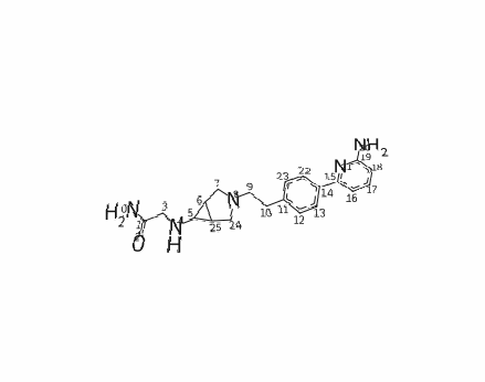 NC(=O)CNC1C2CN(CCc3ccc(-c4cccc(N)n4)cc3)CC21